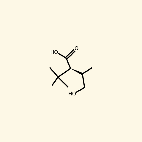 CC(CO)[C@H](C(=O)O)C(C)(C)C